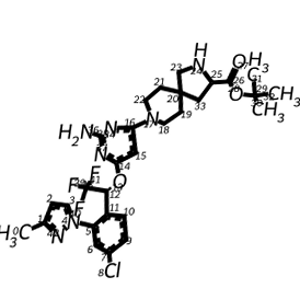 Cc1ccn(-c2cc(Cl)ccc2[C@@H](Oc2cc(N3CCC4(CC3)CNC(C(=O)OC(C)(C)C)C4)nc(N)n2)C(F)(F)F)n1